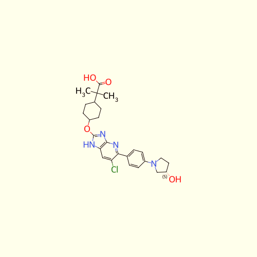 CC(C)(C(=O)O)C1CCC(Oc2nc3nc(-c4ccc(N5CC[C@H](O)C5)cc4)c(Cl)cc3[nH]2)CC1